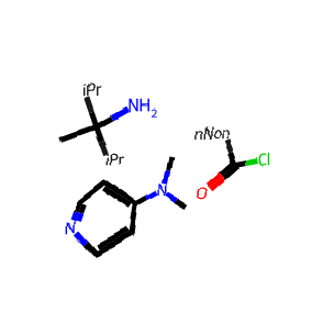 CC(C)C(C)(N)C(C)C.CCCCCCCCCC(=O)Cl.CN(C)c1ccncc1